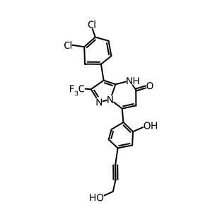 O=c1cc(-c2ccc(C#CCO)cc2O)n2nc(C(F)(F)F)c(-c3ccc(Cl)c(Cl)c3)c2[nH]1